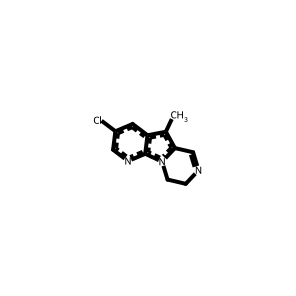 Cc1c2n(c3ncc(Cl)cc13)CCN=C2